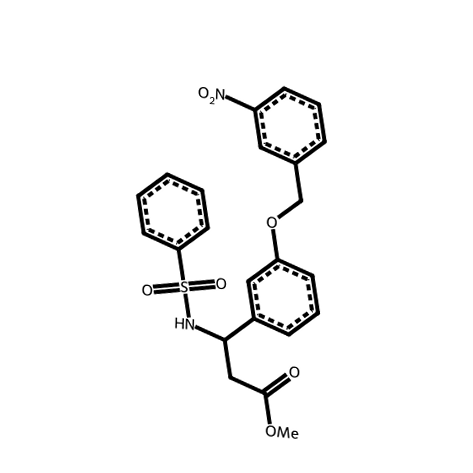 COC(=O)CC(NS(=O)(=O)c1ccccc1)c1cccc(OCc2cccc([N+](=O)[O-])c2)c1